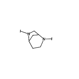 IN1CCC2CC1CN2I